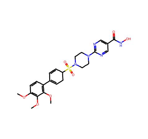 COc1ccc(C2=CCC(S(=O)(=O)N3CCN(c4ncc(C(=O)NO)cn4)CC3)C=C2)c(OC)c1OC